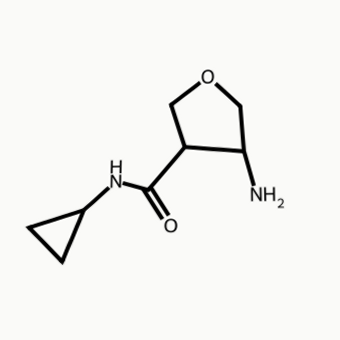 NC1COCC1C(=O)NC1CC1